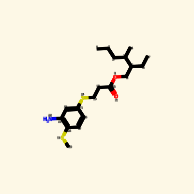 CCCC(C)C(CC)COC(=O)CCSc1ccc(SC)c(N)c1